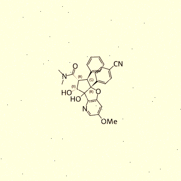 COc1cnc2c(c1)O[C@@]1(c3ccc(C#N)cc3)[C@H](c3ccccc3)[C@@H](C(=O)N(C)C)[C@@H](O)C21O